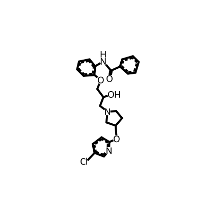 O=C(Nc1ccccc1OCC(O)CN1CCC(Oc2ccc(Cl)cn2)C1)c1ccccc1